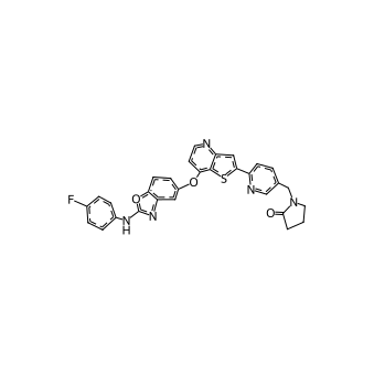 O=C1CCCN1Cc1ccc(-c2cc3nccc(Oc4ccc5oc(Nc6ccc(F)cc6)nc5c4)c3s2)nc1